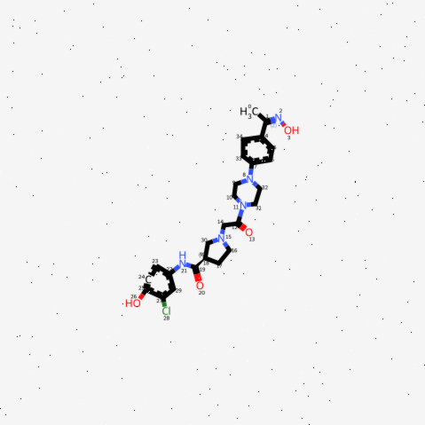 C/C(=N/O)c1ccc(N2CCN(C(=O)CN3CC[C@@H](C(=O)Nc4ccc(O)c(Cl)c4)C3)CC2)cc1